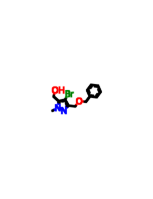 Cn1nc(COCc2ccccc2)c(Br)c1CO